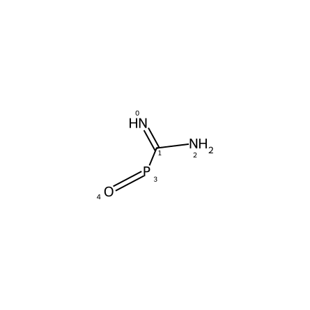 N=C(N)P=O